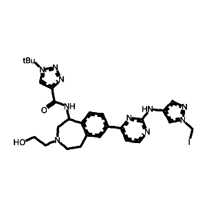 CC(C)(C)n1cc(C(=O)NC2CN(CCO)CCc3cc(-c4ccnc(Nc5cnn(CI)c5)n4)ccc32)nn1